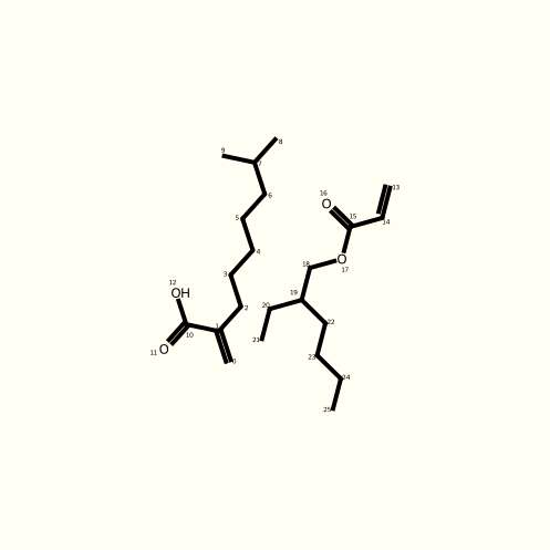 C=C(CCCCCC(C)C)C(=O)O.C=CC(=O)OCC(CC)CCCC